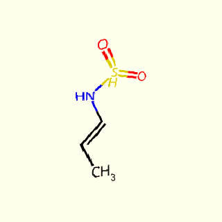 CC=CN[SH](=O)=O